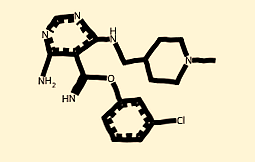 CN1CCC(CNc2ncnc(N)c2C(=N)Oc2cccc(Cl)c2)CC1